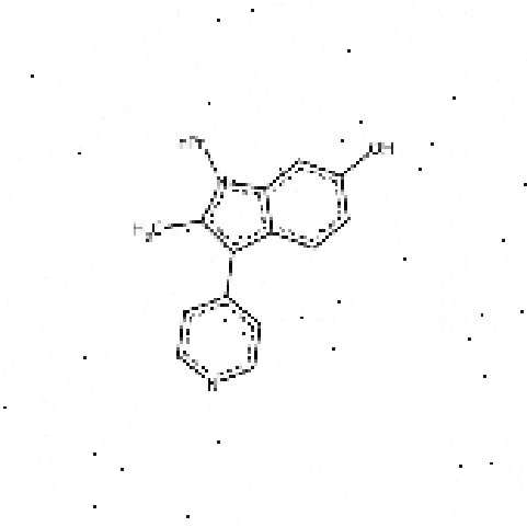 CCCn1c(C)c(-c2ccncc2)c2ccc(O)cc21